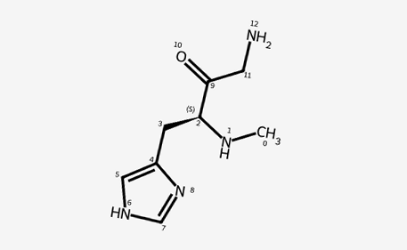 CN[C@@H](Cc1c[nH]cn1)C(=O)CN